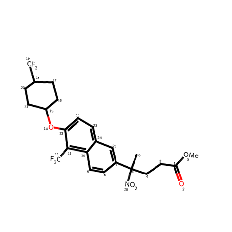 COC(=O)CCC(C)(c1ccc2c(C(F)(F)F)c(OC3CCC(C(F)(F)F)CC3)ccc2c1)[N+](=O)[O-]